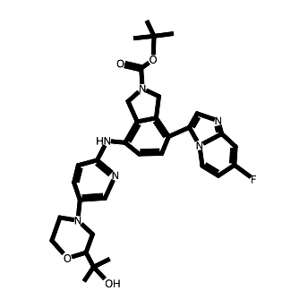 CC(C)(C)OC(=O)N1Cc2c(Nc3ccc(N4CCOC(C(C)(C)O)C4)cn3)ccc(-c3cnc4cc(F)ccn34)c2C1